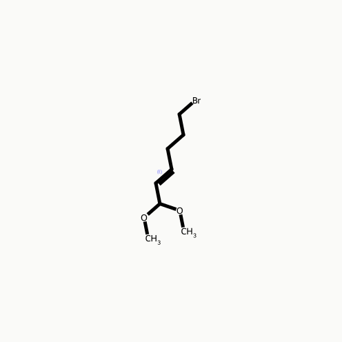 COC(/C=C/CCCBr)OC